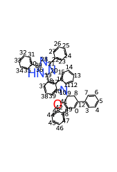 C1=C(c2ccccc2)CC(n2c3ccccc3c3c(C4N=C(c5ccccc5)N=C(c5ccccc5)N4)cccc32)c2oc3ccccc3c21